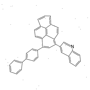 c1ccc(-c2ccc(-c3cc(-c4cnc5ccccc5c4)c4ccc5cccc6ccc3c4c65)cc2)cc1